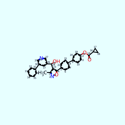 Cc1noc(-c2ccc(-c3ccc(OC(=O)C4CC4)cc3)cc2)c1C(O)c1cncc(-c2ccccc2)c1